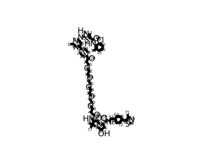 Cc1nc(Nc2ncc(C(=O)Nc3c(C)cccc3Cl)s2)cc(N2CCN(C(=O)CCOCCOCCOCCOCCOCCC(=O)NC(C(=O)N3C[C@H](O)C[C@H]3C(=O)NCc3ccc(-c4scnc4C)cc3)C(C)(C)C)CC2)n1